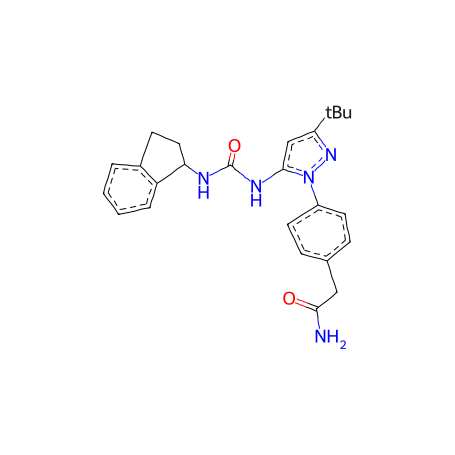 CC(C)(C)c1cc(NC(=O)NC2CCc3ccccc32)n(-c2ccc(CC(N)=O)cc2)n1